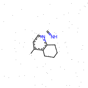 C=N.Cc1ccnc2c1CCCC2